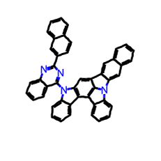 c1ccc2cc(-c3nc(-n4c5ccccc5c5c6c7ccccc7n7c8cc9ccccc9cc8c(cc54)c67)c4ccccc4n3)ccc2c1